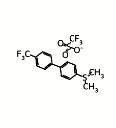 C[S+](C)c1ccc(-c2ccc(C(F)(F)F)cc2)cc1.O=S(=O)([O-])C(F)(F)F